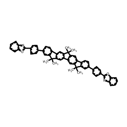 CC1(C)c2cc(-c3ccc(-c4nc5ccccc5o4)cc3)ccc2-c2cc3c(cc21)-c1cc2c(cc1C3(C)C)-c1ccc(-c3ccc(-c4nc5ccccc5o4)cc3)cc1C2(C)C